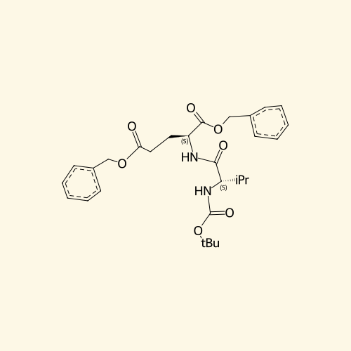 CC(C)[C@H](NC(=O)OC(C)(C)C)C(=O)N[C@@H](CCC(=O)OCc1ccccc1)C(=O)OCc1ccccc1